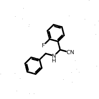 N#CC(NCc1ccccc1)c1ccccc1F